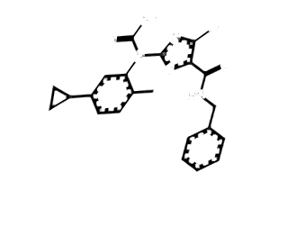 Cc1ccc(C2CC2)cc1N(C(N)=O)c1nc(Br)c(C(=O)NCc2ccccc2)s1